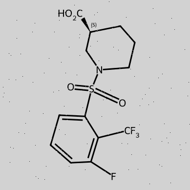 O=C(O)[C@H]1CCCN(S(=O)(=O)c2cccc(F)c2C(F)(F)F)C1